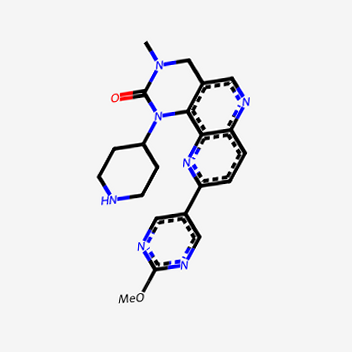 COc1ncc(-c2ccc3ncc4c(c3n2)N(C2CCNCC2)C(=O)N(C)C4)cn1